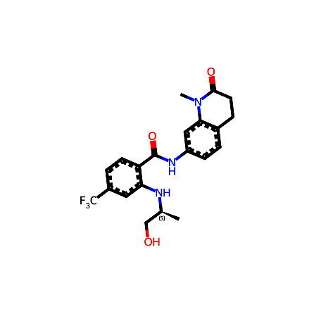 C[C@@H](CO)Nc1cc(C(F)(F)F)ccc1C(=O)Nc1ccc2c(c1)N(C)C(=O)CC2